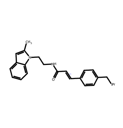 Cc1cc2ccccc2n1CCNC(=O)/C=C/c1ccc(CC(C)C)cc1